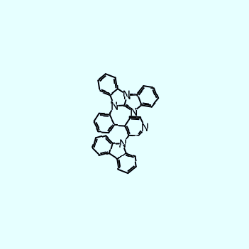 c1ccc(-n2c3ccccc3n3c4ccccc4nc23)c(-c2ccncc2-n2c3ccccc3c3ccccc32)c1